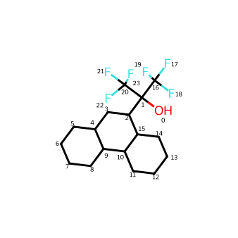 OC(C1CC2CCCCC2C2CCCCC21)(C(F)(F)F)C(F)(F)F